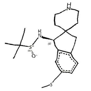 CSc1ccc2c(c1)[C@@H](N[S@+]([O-])C(C)(C)C)C1(CCNCC1)C2